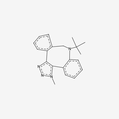 Cn1nnc2c1-c1ccccc1N(C(C)(C)C)Cc1ccccc1-2